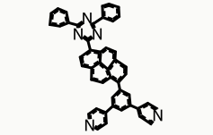 c1ccc(-c2nc(-c3ccccc3)nc(-c3ccc4ccc5c(-c6cc(-c7ccncc7)cc(-c7ccncc7)c6)ccc6ccc3c4c65)n2)cc1